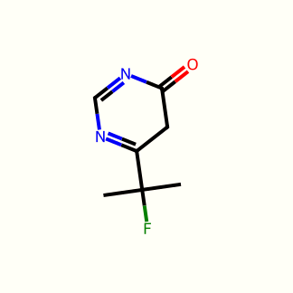 CC(C)(F)C1=NC=NC(=O)C1